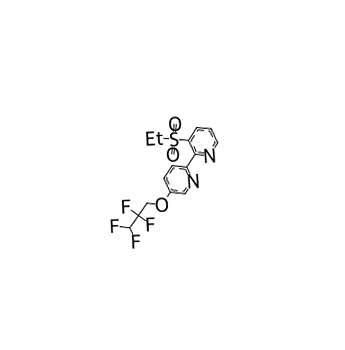 CCS(=O)(=O)c1cccnc1-c1ccc(OCC(F)(F)C(F)F)cn1